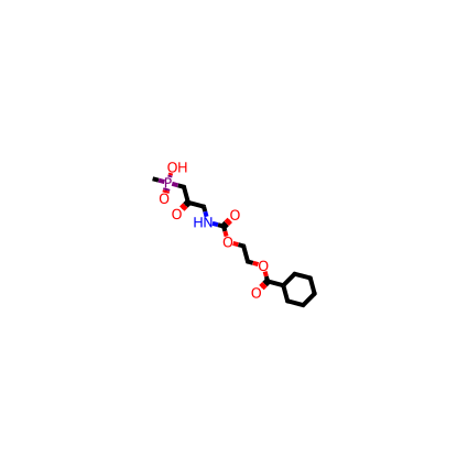 CP(=O)(O)CC(=O)CNC(=O)OCCOC(=O)C1CCCCC1